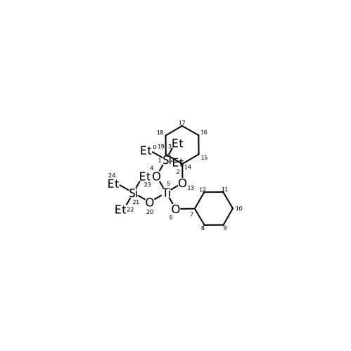 CC[Si](CC)(CC)[O][Ti]([O]C1CCCCC1)([O]C1CCCCC1)[O][Si](CC)(CC)CC